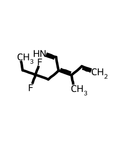 C=C/C(C)=C(\C=N)CC(F)(F)CC